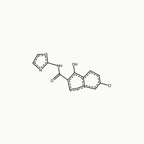 O=C(Nc1nccs1)c1cnc2cc(Cl)ccc2c1O